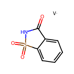 O=C1NS(=O)(=O)c2ccccc21.[V]